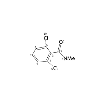 CNC(=O)c1c(Cl)cccc1Cl